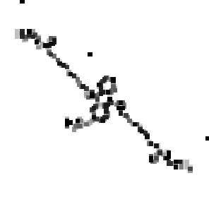 CCOC(=O)CCCCCCCCOc1c2ccccc2c(OCCCCCCCCC(=O)OCC)c2cc(CC)ccc12